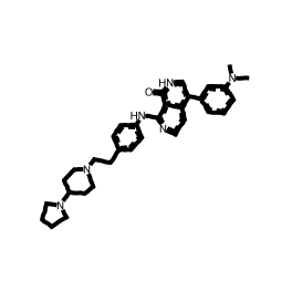 CN(C)c1cccc(-c2c[nH]c(=O)c3c(Nc4ccc(CCN5CCC(N6CCCC6)CC5)cc4)nccc23)c1